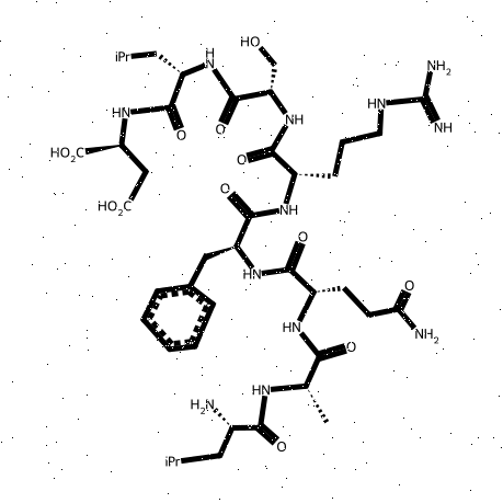 CC(C)C[C@H](NC(=O)[C@H](CO)NC(=O)[C@H](CCCNC(=N)N)NC(=O)[C@H](Cc1ccccc1)NC(=O)[C@H](CCC(N)=O)NC(=O)[C@H](C)NC(=O)[C@@H](N)CC(C)C)C(=O)N[C@@H](CC(=O)O)C(=O)O